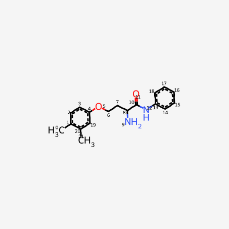 Cc1ccc(OCCC(N)C(=O)Nc2ccccc2)cc1C